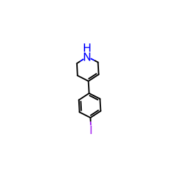 Ic1ccc(C2=CCNCC2)cc1